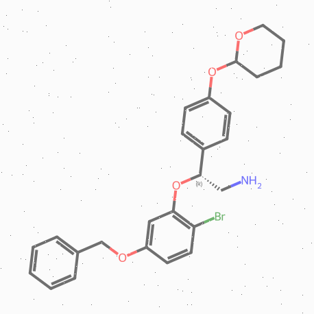 NC[C@H](Oc1cc(OCc2ccccc2)ccc1Br)c1ccc(OC2CCCCO2)cc1